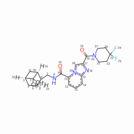 CC1(C)[C@H]2CC[C@H](CNC(=O)c3cccc4nc(C(=O)N5CCC(F)(F)CC5)cn34)[C@@H]1C2